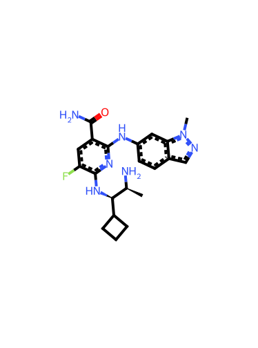 C[C@H](N)[C@H](Nc1nc(Nc2ccc3cnn(C)c3c2)c(C(N)=O)cc1F)C1CCC1